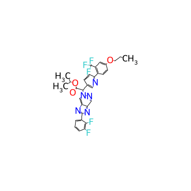 CCCOc1ccc(-c2ccc(C(C(=O)OC(C)C)n3cc4nc(-c5cccc(F)c5F)nc-4cn3)cn2)c(C(F)(F)F)c1